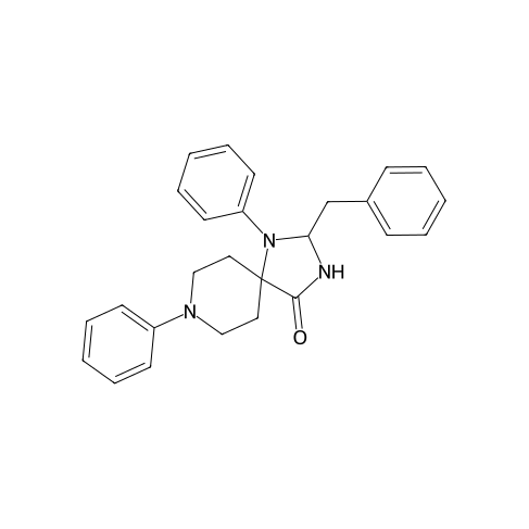 O=C1NC(Cc2ccccc2)N(c2ccccc2)C12CCN(c1ccccc1)CC2